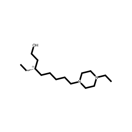 CC[C@H](CCO)CCCCCN1CCN(CC)CC1